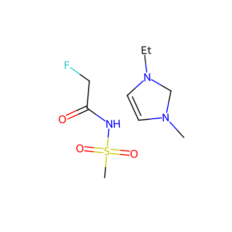 CCN1C=CN(C)C1.CS(=O)(=O)NC(=O)CF